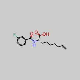 C=CCCCCC[C@H](NC(=O)c1cccc(F)c1)C(=O)O